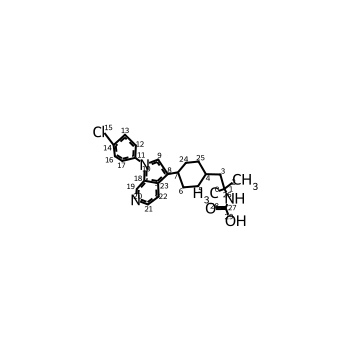 CC(C)(CC1CCC(c2cn(-c3ccc(Cl)cc3)c3cnccc23)CC1)NC(=O)O